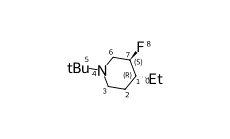 CC[C@@H]1CCN(C(C)(C)C)C[C@H]1F